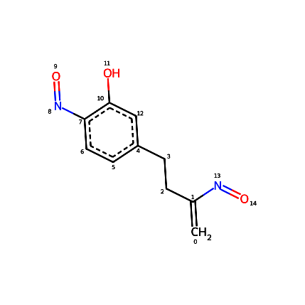 C=C(CCc1ccc(N=O)c(O)c1)N=O